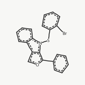 Brc1ccccc1Sn1c2ccccc2c2coc(-c3ccccc3)c21